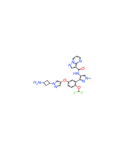 Cn1cc(NC(=O)c2cnn3cccnc23)c(-c2cc(Oc3cnn(C4CC(N)C4)c3)ccc2OC(F)F)n1